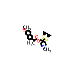 COc1ccc2cc([C@H](C)C(=O)OCC3(C(SC4CC4)SC4CC4)CCN(C)CC3)ccc2c1